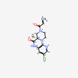 C=CC(=O)N1CCN2c3ncc(Cl)cc3NC(=O)[C@H]2C1